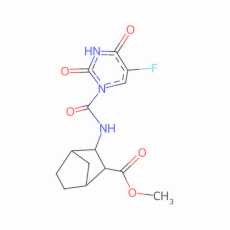 COC(=O)C1C2CCC(C2)C1NC(=O)n1cc(F)c(=O)[nH]c1=O